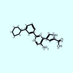 Nc1cnc(-c2cccc(C3CCCCC3)c2)nc1-c1c[nH]c(C(=O)O)c1